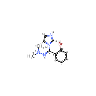 CN(C)N=C(c1ccccc1Br)n1ccnc1